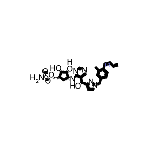 C=C/C=C\c1ccc(Cn2ccc(C(=O)c3cncnc3N[C@@H]3C[C@H](COS(N)(=O)=O)[C@@H](O)[C@H]3O)n2)cc1C